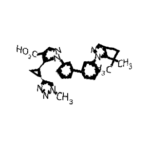 Cn1cc([C@@H]2C[C@H]2c2c(C(=O)O)cnn2-c2cccc(-c3cccc(-n4ncc5c4C(C)(C)CC5)c3)c2)nn1